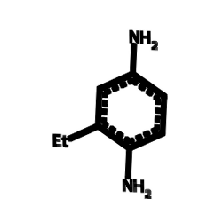 CCc1cc(N)ccc1N